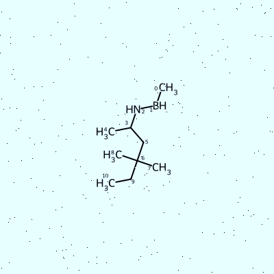 CBNC(C)CC(C)(C)CC